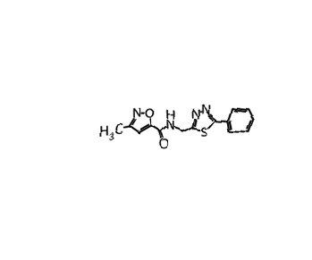 Cc1cc(C(=O)NCc2nnc(-c3ccccc3)s2)on1